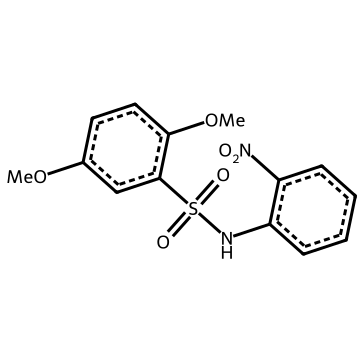 COc1ccc(OC)c(S(=O)(=O)Nc2ccccc2[N+](=O)[O-])c1